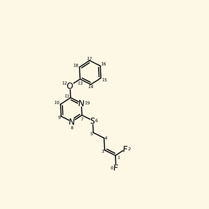 FC(F)=CCCSc1nccc(Oc2ccccc2)n1